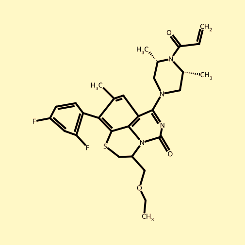 C=CC(=O)N1[C@H](C)CN(c2nc(=O)n3c4c(c(-c5ccc(F)cc5F)c(C)cc24)SCC3COCC)C[C@@H]1C